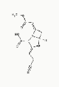 COC(=O)/C=C1/C[C@H]2O/C(=C\CC#N)[C@H](C(=O)O)N12